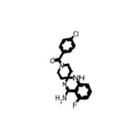 NC1=NC2(CCN(C(=O)c3ccc(Cl)cc3)CC2)Nc2cccc(F)c21